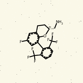 NC[C@H]1CCc2cc(F)cc(-c3c(C(F)(F)F)cccc3C(F)(F)F)c2O1